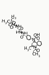 CCC(=O)N1c2ccccc2[C@H](N(C(=O)O)c2ccc(C(=O)NNC(=O)CNC(=O)OC(C)(C)C)cc2)C[C@@H]1C